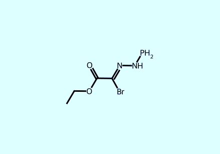 CCOC(=O)/C(Br)=N/NP